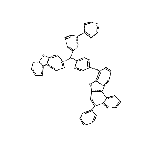 c1ccc(-c2cccc(N(c3ccc(-c4cccc5c4oc4cc(-c6ccccc6)c6ccccc6c45)cc3)c3ccc4c(c3)sc3ccccc34)c2)cc1